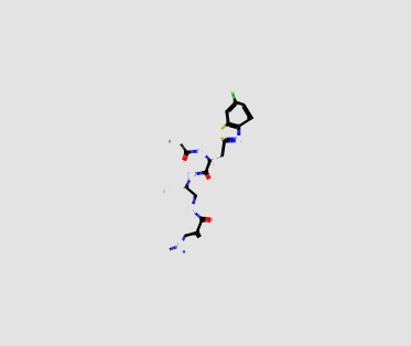 C=C(CN(CC)CC)C(=O)NCC(NC(=O)[C@H](Cc1nc2ccc(Cl)cc2s1)NC(=O)CCC)[C@@H](C)CC